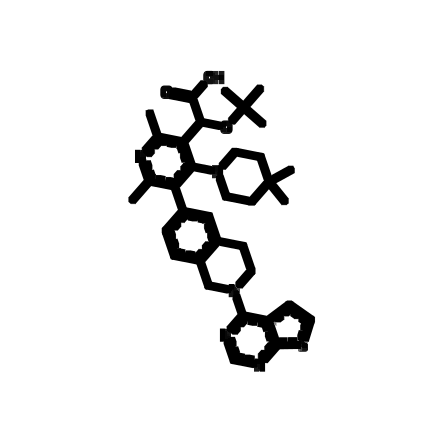 Cc1nc(C)c(C(OC(C)(C)C)C(=O)O)c(N2CCC(C)(C)CC2)c1-c1ccc2c(c1)CCN(c1ncnc3sccc13)C2